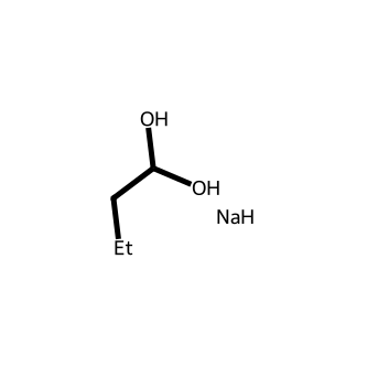 CCCC(O)O.[NaH]